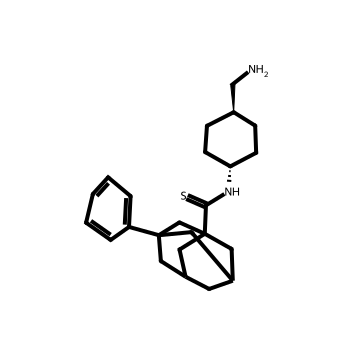 NC[C@H]1CC[C@H](NC(=S)C23CC4CC(C2)CC(c2ccccc2)(C4)C3)CC1